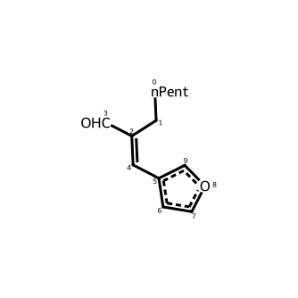 CCCCCCC(C=O)=Cc1ccoc1